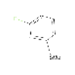 CSc1[c]c(F)ccc1